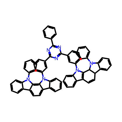 C1=CC2c3ccccc3N(c3ccccc3)C2c2c1c1ccccc1n2-c1cccc(-c2nc(-c3ccccc3)nc(-c3cccc(-n4c5ccccc5c5ccc6c7ccccc7n(-c7ccccc7)c6c54)c3)n2)c1